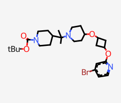 CC(C)(C)OC(=O)N1CCC(C(C)(C)N2CCC(OC3CC(Oc4cc(Br)ccn4)C3)CC2)CC1